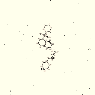 O=S(=O)(C1CCCCC1)N1CCCc2cc([C@@H]3C[C@H]3NCC3CCNCC3)ccc21